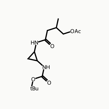 CC(=O)OCC(C)CC(=O)NC1CC1NC(=O)OC(C)(C)C